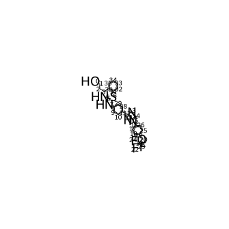 OCCC(NC(=S)Nc1ccc(-c2ncn(-c3ccc(OC(F)(F)F)cc3)n2)cc1)c1ccccc1